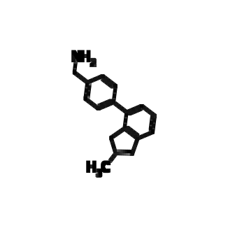 CC1=Cc2cccc(-c3ccc(CN)cc3)c2C1